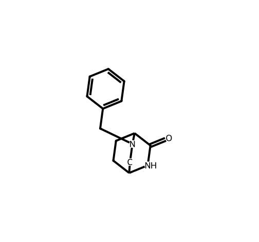 O=C1NC2CCC1N(Cc1ccccc1)C2